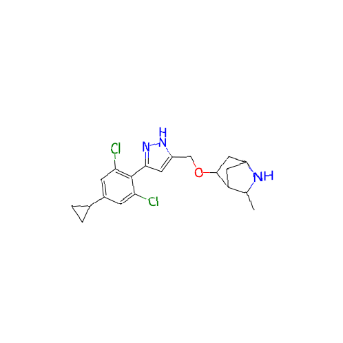 CC1NC2CC(OCc3cc(-c4c(Cl)cc(C5CC5)cc4Cl)n[nH]3)C1C2